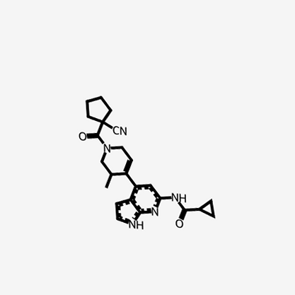 CC1CN(C(=O)C2(C#N)CCCC2)CC=C1c1cc(NC(=O)C2CC2)nc2[nH]ccc12